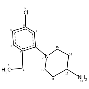 CCc1ccc(Cl)cc1N1CCC(N)CC1